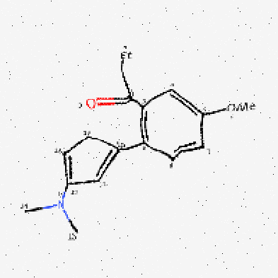 CCC(=O)c1cc(OC)ccc1C1=CC(N(C)C)=CC1